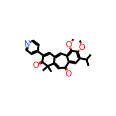 COc1c(C(C)C)cc2c(=O)cc3c(cc2c1OC)C=C(c1ccncc1)C(=O)C3(C)C